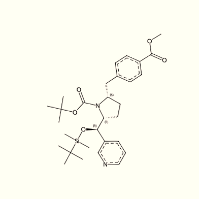 COC(=O)c1ccc(C[C@@H]2CC[C@H]([C@H](O[Si](C)(C)C(C)(C)C)c3cccnc3)N2C(=O)OC(C)(C)C)cc1